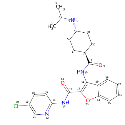 CC(C)N[C@H]1CC[C@H](C(=O)Nc2c(C(=O)Nc3ccc(Cl)cn3)oc3ccccc23)CC1